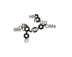 COC(=O)c1ccc(N2CCN(CC3=C(c4ccc(Cl)cc4)CC[C@@](C)(CN(C)C(=O)OC(C)(C)C)C3)CC2)cc1Oc1cnc2[nH]ccc2c1